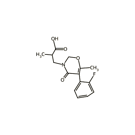 CC1=C(c2ccccc2F)C(=O)N(CC(C)C(=O)O)CO1